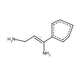 NC/C=C(\N)c1ccccc1